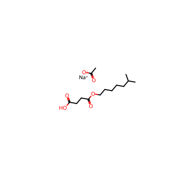 CC(=O)[O-].CC(C)CCCCCOC(=O)CCC(=O)O.[Na+]